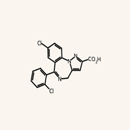 O=C(O)c1cc2n(n1)-c1ccc(Cl)cc1C(c1ccccc1Cl)=NC2